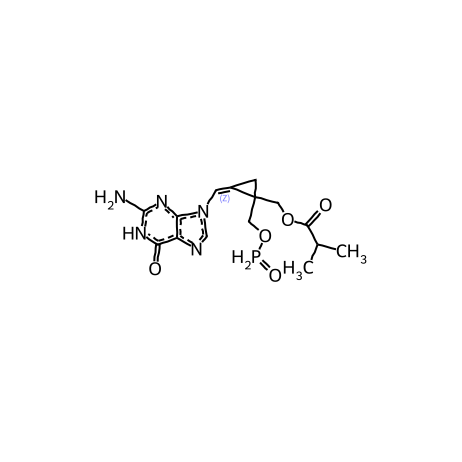 CC(C)C(=O)OCC1(CO[PH2]=O)C/C1=C/n1cnc2c(=O)[nH]c(N)nc21